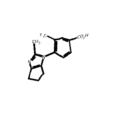 Cc1nc2c(n1-c1ccc(C(=O)O)cc1C(F)(F)F)CCC2